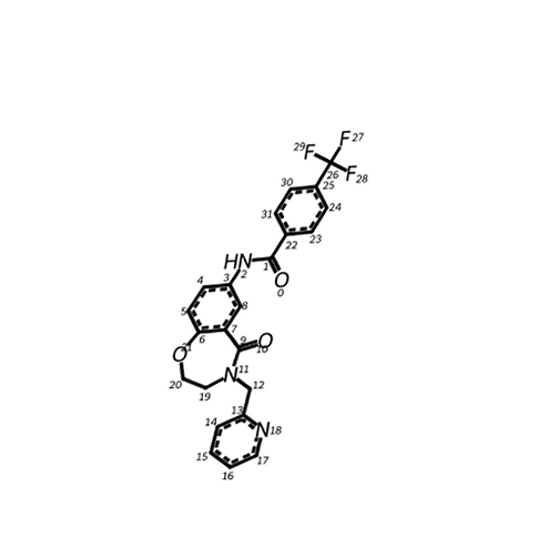 O=C(Nc1ccc2c(c1)C(=O)N(Cc1ccccn1)CCO2)c1ccc(C(F)(F)F)cc1